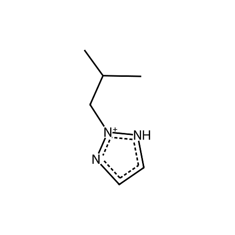 CC(C)C[n+]1ncc[nH]1